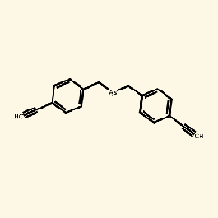 C#Cc1ccc(C[As]Cc2ccc(C#C)cc2)cc1